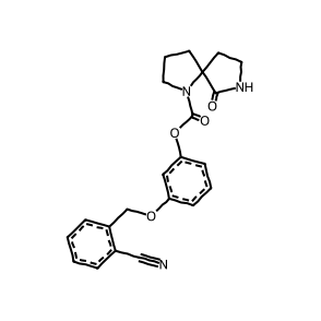 N#Cc1ccccc1COc1cccc(OC(=O)N2CCCC23CCNC3=O)c1